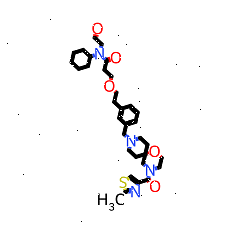 Cc1nc(C(=O)N2CCOC3(CCN(Cc4cccc(CCOCCC(=O)N(CC=O)C5CCCCC5)c4)CC3)C2)cs1